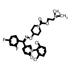 CN(C)CCOC(=O)N1CCC(O/N=C(\c2ccc(=O)n(-c3c(Cl)cccc3Cl)c2)c2ccc(F)cc2F)CC1